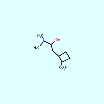 CN(C)C(O)CC1CCC1C(=O)O